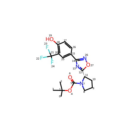 CC(C)(C)OC(=O)N1CCC[C@H]1c1nc(-c2ccc(O)c(C(F)(F)F)c2)no1